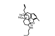 C=CCN1CC[C@@]23c4c5ccc(C)c4O[C@@H]2C(NCCO)CC[C@]3(O)[C@@H]1C5